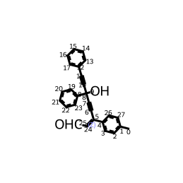 Cc1ccc(/C(C#CC(O)(C#Cc2ccccc2)c2ccccc2)=C/C=O)cc1